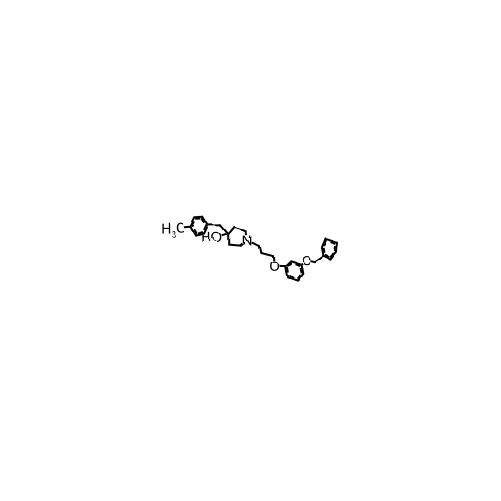 Cc1ccc(CC2(O)CCN(CCCOc3cccc(OCc4ccccc4)c3)CC2)cc1